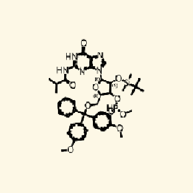 COc1ccc(C(OC[C@H]2O[C@@H](n3cnc4c(=O)[nH]c(NC(=O)C(C)C)nc43)[C@@H](O[Si](C)(C)C(C)(C)C)C2O[PH](=O)OC)(c2ccccc2)c2ccc(OC)cc2)cc1